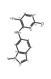 Cn1ncc2ccc(Nc3nc(Cl)ncc3F)cc21